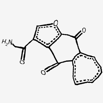 NC(=O)c1coc2c1C(=O)c1ccccc1C2=O